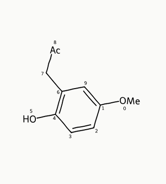 COc1ccc(O)c(CC(C)=O)c1